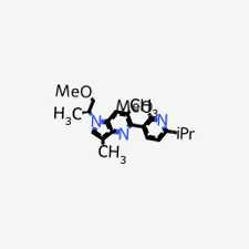 COC[C@H](C)n1cc(C)c2nc(-c3ccc(C(C)C)nc3OC)c(C)cc21